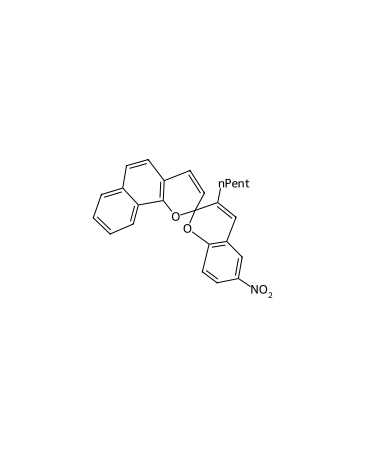 CCCCCC1=Cc2cc([N+](=O)[O-])ccc2OC12C=Cc1ccc3ccccc3c1O2